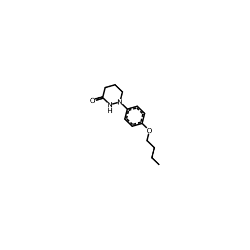 CCCCOc1ccc(N2CCCC(=O)N2)cc1